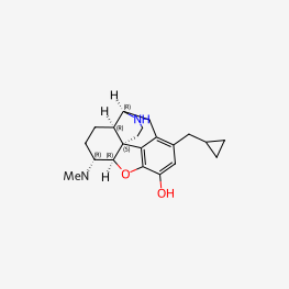 CN[C@@H]1CC[C@H]2[C@H]3Cc4c(CC5CC5)cc(O)c5c4[C@@]2(CCN3)[C@H]1O5